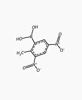 Cc1c(B(O)O)cc([N+](=O)[O-])cc1[N+](=O)[O-]